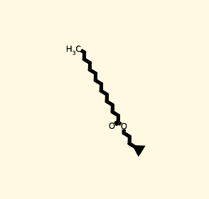 CCCCCCCCCCCCCCC(=O)OCCCC1CC1